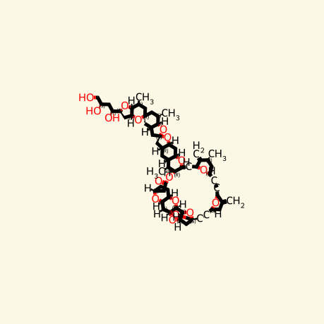 C=C1C[C@@H]2CC[C@@]34C[C@@H]5O[C@@H]6[C@@H](O[C@H]7CC[C@H](CC(=O)O[C@@H]8[C@@H](C)[C@@H]9C[C@@H]%10C[C@]%11(C[C@@H]%12C[C@@]%13(C[C@H](C)[C@@H]%12O%11)C[C@H](C)[C@@H]%11O[C@H]([C@H](O)C[C@H](O)CO)C[C@@H]%11O%13)O[C@@H]%10C[C@@H]9O[C@H]8CC8O[C@@H](CCC1O2)C[C@@H](C)C8=C)O[C@@H]7[C@@H]6O3)[C@H]5O4